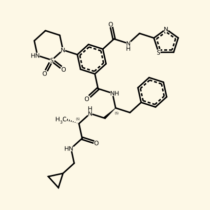 C[C@H](NC[C@H](Cc1ccccc1)NC(=O)c1cc(C(=O)NCc2nccs2)cc(N2CCCNS2(=O)=O)c1)C(=O)NCC1CC1